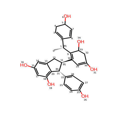 C[C@H](C1=CCC(O)C=C1)C1=C([C@@H]2Cc3cc(O)cc(O)c3[C@H]2c2ccc(O)cc2)C=C(O)CC1O